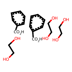 O=C(O)c1ccccc1.O=C(O)c1ccccc1.OCCO.OCCO.OCCO